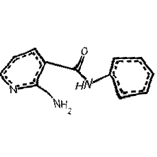 Nc1ncccc1C(=O)Nc1ccccc1